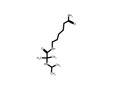 CC(C)NC(C)(C)C(=O)NCCCCCC(N)=O